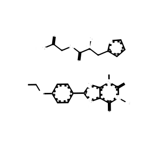 CCCn1c(=O)c2[nH]c(-c3ccc(OCC(=O)O)cc3)nc2n(CCC)c1=O.NC(=O)CNC(=O)[C@@H](N)Cc1cccs1